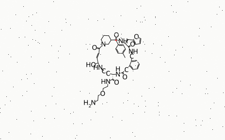 Cc1ccc(C[C@@]23CCCN(C2)C(=O)/C=C/C(O)NCC[C@@H](C(=O)NCCOCCN)NC(=O)Cc2ccccc2CNC(=O)[C@H](Cc2ccco2)NC3=O)cc1